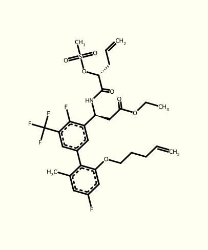 C=CCCCOc1cc(F)cc(C)c1-c1cc([C@H](CC(=O)OCC)NC(=O)[C@@H](CC=C)OS(C)(=O)=O)c(F)c(C(F)(F)F)c1